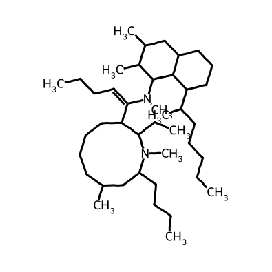 CCC/C=C(\C1CCCCC(C)CC(CCCC)N(C)C1CC)N(C)C1C(C)C(C)CC2CCCC(C(C)CCCCC)C21